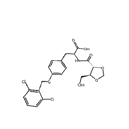 O=C(O)C(Cc1ccc(OCc2c(Cl)cccc2Cl)cc1)NC(=O)[C@@H]1OCO[C@H]1CO